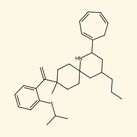 C=C(c1ccccc1SC(C)C)C1(C)CCC2(CC1)CC(CCC)CC(C1=CC=CC=CC1)N2